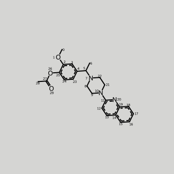 COc1cc(C(C)N2CCN(c3ccc4ccccc4n3)CC2)ccc1OC(C)=O